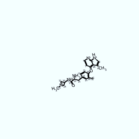 Cc1c[nH]c2nccc(Oc3ccc(C[C@H](N)C(=O)NC4CN(C)C4)cc3F)c12